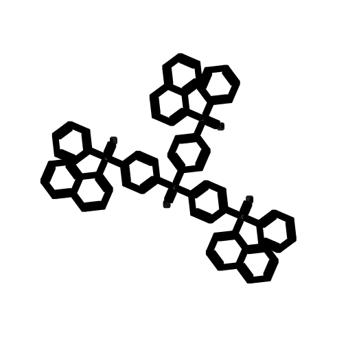 O=P(c1ccc(P(=O)(c2ccccc2)c2cccc3ccccc23)cc1)(c1ccc(P(=O)(c2ccccc2)c2cccc3ccccc23)cc1)c1ccc(P(=O)(c2ccccc2)c2cccc3ccccc23)cc1